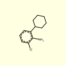 Nc1c(Cl)cccc1C1CCCCC1